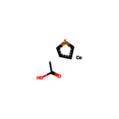 CC(=O)O.[Co].c1ccsc1